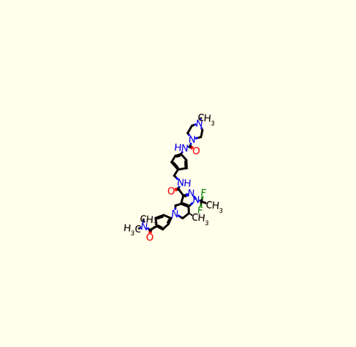 C[C@H]1CN(c2ccc(C(=O)N(C)C)cc2)Cc2c(C(=O)NCc3ccc(NC(=O)N4CCN(C)CC4)cc3)nn(C(C)(F)F)c21